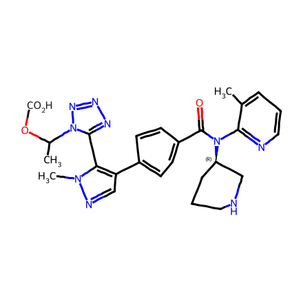 Cc1cccnc1N(C(=O)c1ccc(-c2cnn(C)c2-c2nnnn2C(C)OC(=O)O)cc1)[C@@H]1CCCNC1